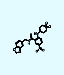 O=C(NCc1ccc2c(c1)OCO2)c1cc([N+](=O)[O-])ccc1NC1CCS(=O)(=O)CC1